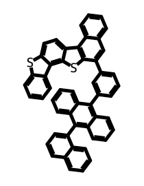 c1cc(-c2c3ccccc3c(-c3cccc4ccccc34)c3ccccc23)cc(-c2cc3ccccc3c3c2sc2c3ccc3sc4ccccc4c32)c1